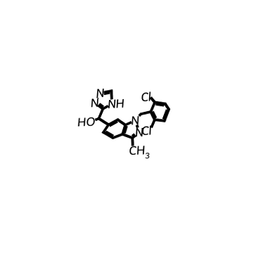 Cc1nn(Cc2c(Cl)cccc2Cl)c2cc(C(O)c3nnc[nH]3)ccc12